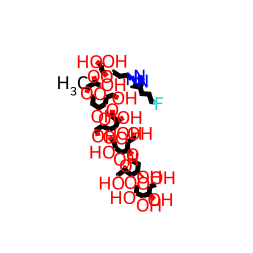 C[C@H](O[C@@H]1C[C@@H](O)C(OC2OC(CO)C(OC3OC(CO)C(O[C@@H]4C[C@@H](O)C(OC5OC(CO)C(O)C(O)C5O)C(CO)O4)C(O)C3O)C(O)C2O)C(CO)O1)C(CO)OC(OCCCn1cc(CCCF)nn1)C(O)O